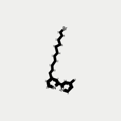 Cc1ccnc(-c2cc(CCCCCCCCCCCBr)ccn2)c1